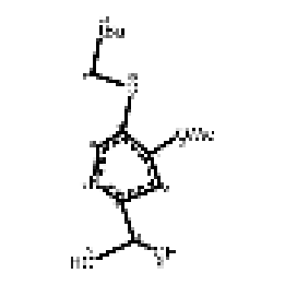 COc1cc(C(O)O)ncc1OCC(C)(C)C